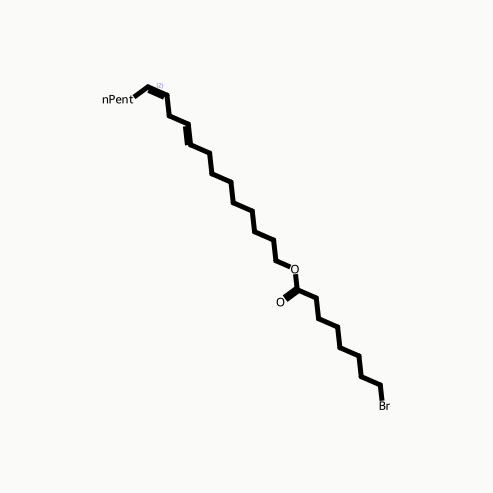 CCCCC/C=C\CC=CCCCCCCCCOC(=O)CCCCCCCBr